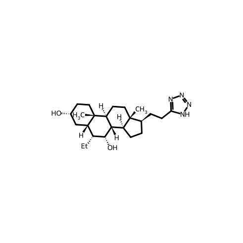 CC[C@H]1[C@@H](O)[C@@H]2[C@H](CC[C@]3(C)[C@@H](CCc4nnn[nH]4)CC[C@@H]23)[C@@]2(C)CC[C@@H](O)C[C@@H]12